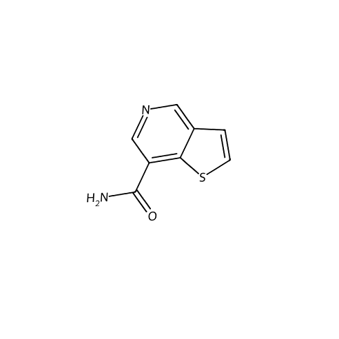 NC(=O)c1cncc2ccsc12